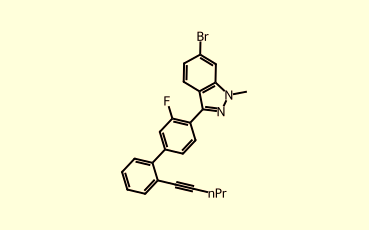 CCCC#Cc1ccccc1-c1ccc(-c2nn(C)c3cc(Br)ccc23)c(F)c1